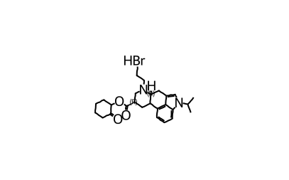 Br.CCCN1C[C@H](C(=O)OC2CCCCC2=O)CC2c3cccc4c3c(cn4C(C)C)C[C@H]21